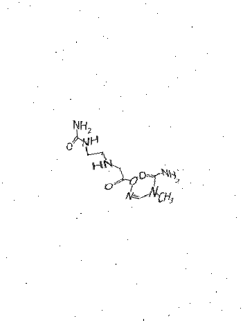 CN(/C=N\OC(=O)CNCCNC(N)=O)C(N)=O